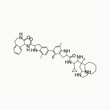 Cc1cc(-c2cc(C)c3c(c2F)CC(C(=O)NC(C2CC2)C(N)C(C)(CC2NCCN2)C2CCCCCCC2)N3)cc2c1NC(C(=O)NC1C(=O)NCCc3ccccc31)C2